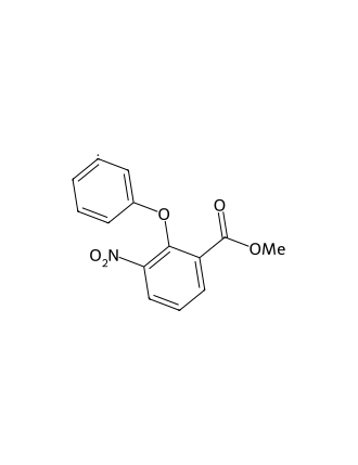 COC(=O)c1cccc([N+](=O)[O-])c1Oc1c[c]ccc1